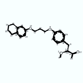 CO[C@@H](Cc1ccc(OCCCOc2ccc3c(c2)CCCC3)cc1)C(C)=O